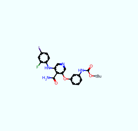 CC(C)(C)OC(=O)Nc1cccc(Oc2cncc(Nc3ccc(I)cc3F)c2C(N)=O)c1